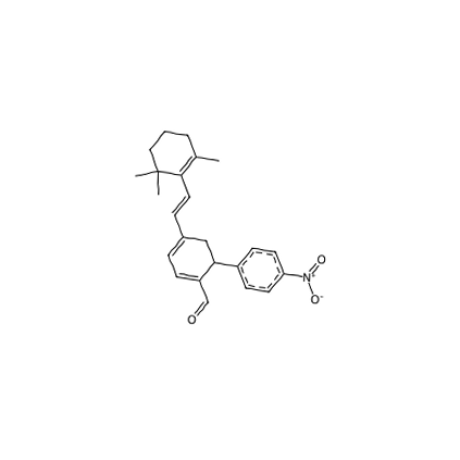 CC1=C(C=CC2=CC=C(C=O)C(c3ccc([N+](=O)[O-])cc3)C2)C(C)(C)CCC1